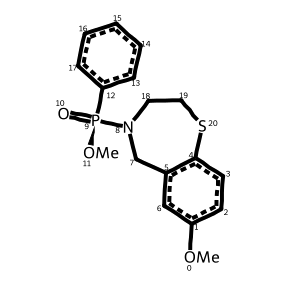 COc1ccc2c(c1)CN([P@@](=O)(OC)c1ccccc1)CCS2